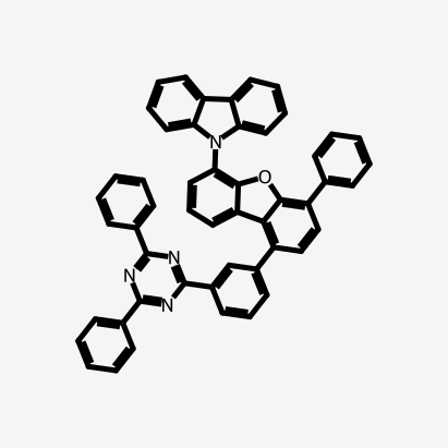 c1ccc(-c2nc(-c3ccccc3)nc(-c3cccc(-c4ccc(-c5ccccc5)c5oc6c(-n7c8ccccc8c8ccccc87)cccc6c45)c3)n2)cc1